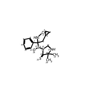 CNC(CC1CC1)(c1ccccc1)[S+]([O-])N1CNC(C)(C)C1=S